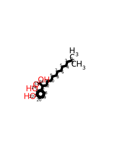 CC(C)CCCCCCCCCCC(C(=O)O)c1cccc(O)c1O